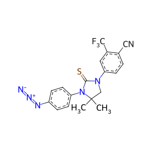 CC1(C)CN(c2ccc(C#N)c(C(F)(F)F)c2)C(=S)N1c1ccc(N=[N+]=[N-])cc1